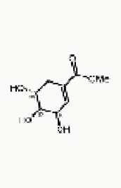 COC(=O)C1=C[C@@H](O)[C@@H](O)[C@H](O)C1